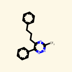 FC(F)(F)c1nnc(-c2ccccc2)c(CCCc2ccccc2)n1